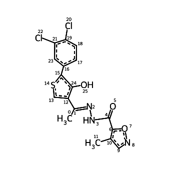 CC(=NNC(=O)c1oncc1C)c1csc(-c2ccc(Cl)c(Cl)c2)c1O